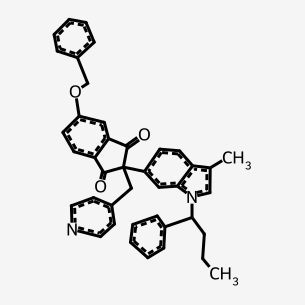 CCCC(c1ccccc1)n1cc(C)c2ccc(C3(Cc4ccncc4)C(=O)c4ccc(OCc5ccccc5)cc4C3=O)cc21